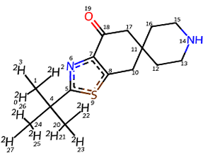 [2H]C([2H])([2H])C(c1nc2c(s1)CC1(CCNCC1)CC2=O)(C([2H])([2H])[2H])C([2H])([2H])[2H]